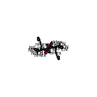 CCCCCCc1ccc(C2(c3ccc(CCCCCC)cc3)c3cc(-c4sc(/C=C5\C(=O)c6cc(C#N)c(C#N)cc6C5=C(C#N)C#N)cc4OCCCCCCc4ccc5c(c4)CC5)sc3-c3sc4c5c(sc4c32)-c2sc(-c3sc(/C=C4\C(=O)c6cc(C#N)c(C#N)cc6C4=C(C#N)C#N)cc3OCCCCCCc3ccc4c(c3)CC4)cc2C5(c2ccc(CCCCCC)cc2)c2ccc(CCCCCC)cc2)cc1